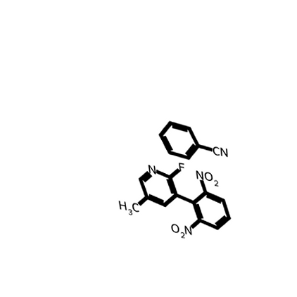 Cc1cnc(F)c(-c2c([N+](=O)[O-])cccc2[N+](=O)[O-])c1.N#Cc1ccccc1